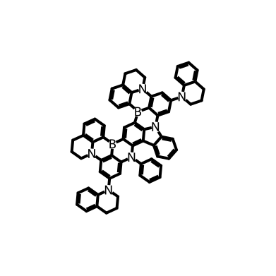 c1ccc(N2c3cc(N4CCCc5ccccc54)cc4c3B(c3cccc5c3N4CCC5)c3cc4c5c(c32)c2ccccc2n5-c2cc(N3CCCc5ccccc53)cc3c2B4c2cccc4c2N3CCC4)cc1